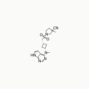 CN(c1ncnc2[nH]ccc12)[C@H]1C[C@@H](CS(=O)(=O)N2CC[C@](C)(C#N)C2)C1